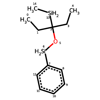 CCC(CC)(O[SiH2]c1ccccc1)[SiH2]C